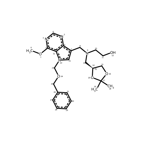 COc1ncnc2c(CN(CCO)C[C@H]3COC(C)(C)O3)cn(COCc3ccccc3)c12